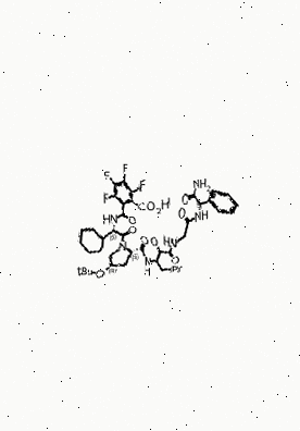 CC(C)CC(NC(=O)[C@@H]1C[C@@H](OC(C)(C)C)CN1C(=O)[C@@H](NC(=O)c1c(F)c(F)c(F)c(F)c1C(=O)O)C1CCCCC1)C(=O)C(=O)NCC(=O)N[C@H](C(N)=O)c1ccccc1